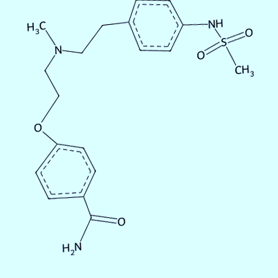 CN(CCOc1ccc(C(N)=O)cc1)CCc1ccc(NS(C)(=O)=O)cc1